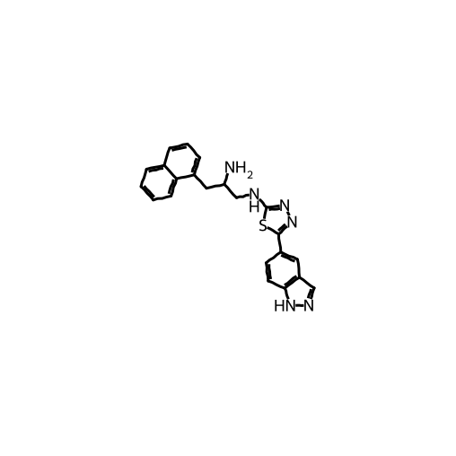 NC(CNc1nnc(-c2ccc3[nH]ncc3c2)s1)Cc1cccc2ccccc12